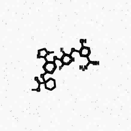 COC(=O)C1(Oc2ccc(Oc3c(F)cnc(Oc4cc(C(=N)N)ccc4O)c3F)c(C3N=CCN3C)c2)CCCCC1